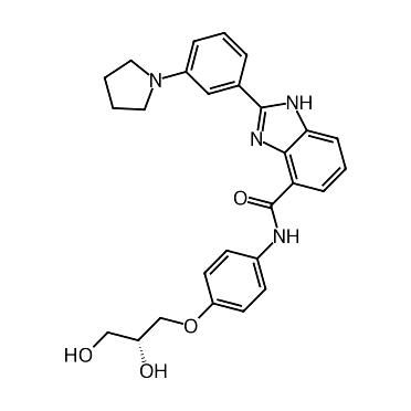 O=C(Nc1ccc(OC[C@H](O)CO)cc1)c1cccc2[nH]c(-c3cccc(N4CCCC4)c3)nc12